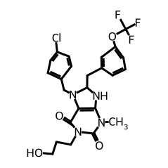 Cn1c2c(c(=O)n(CCCO)c1=O)N(Cc1ccc(Cl)cc1)C(Cc1cccc(OC(F)(F)F)c1)N2